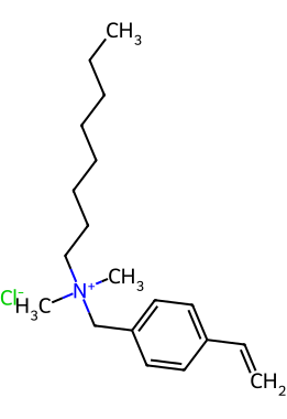 C=Cc1ccc(C[N+](C)(C)CCCCCCCC)cc1.[Cl-]